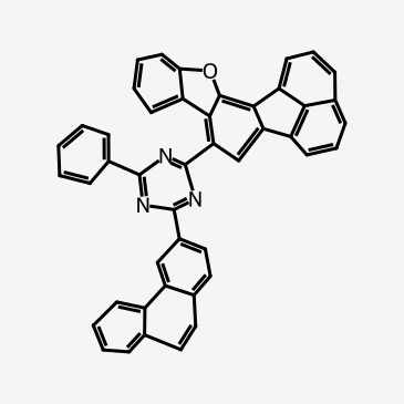 c1ccc(-c2nc(-c3ccc4ccc5ccccc5c4c3)nc(-c3cc4c(c5oc6ccccc6c35)-c3cccc5cccc-4c35)n2)cc1